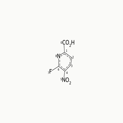 O=C(O)c1ccc([N+](=O)[O-])c(F)n1